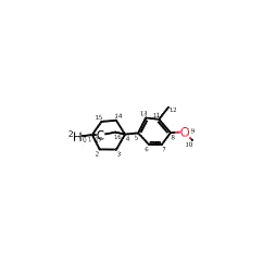 [2H]C12CCC(c3ccc(OC)c(C)c3)(CC1)CC2